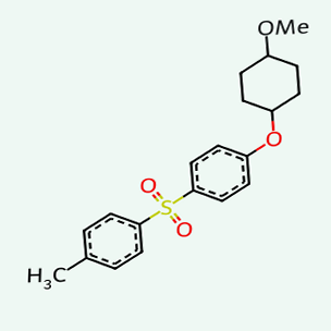 COC1CCC(Oc2ccc(S(=O)(=O)c3ccc(C)cc3)cc2)CC1